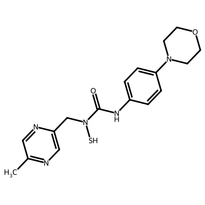 Cc1cnc(CN(S)C(=O)Nc2ccc(N3CCOCC3)cc2)cn1